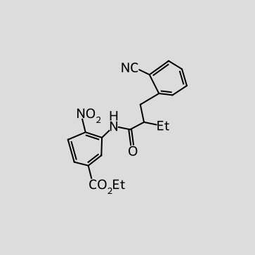 CCOC(=O)c1ccc([N+](=O)[O-])c(NC(=O)C(CC)Cc2ccccc2C#N)c1